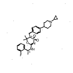 C[C@H](NC1=NS(=O)(=O)[C@H](Cc2ccc(C3CCN(C4CC4)CC3)cc2)C(C)(C)O1)c1ccccc1F